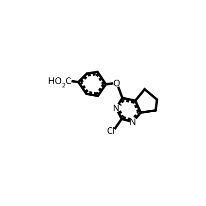 O=C(O)c1ccc(Oc2nc(Cl)nc3c2CCC3)cc1